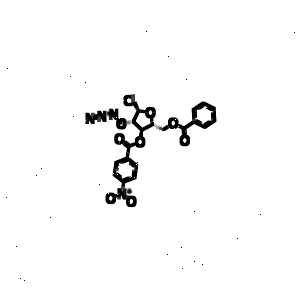 [N-]=[N+]=NO[C@H]1[C@H](OC(=O)c2ccc([N+](=O)[O-])cc2)[C@@H](COC(=O)c2ccccc2)O[C@@H]1Cl